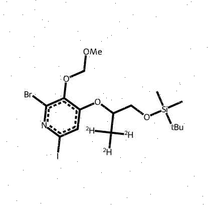 [2H]C([2H])([2H])C(CO[Si](C)(C)C(C)(C)C)Oc1cc(I)nc(Br)c1OCOC